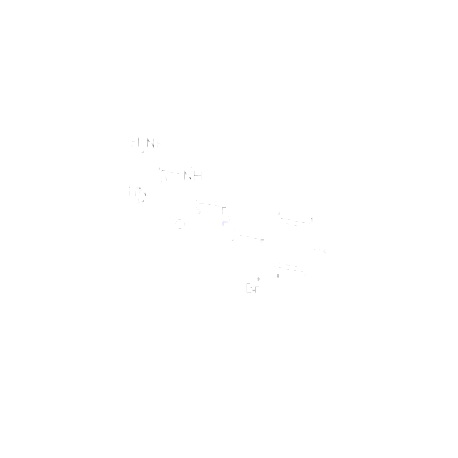 C/C(=C\c1ccccc1Br)C(=O)NC(=N)N